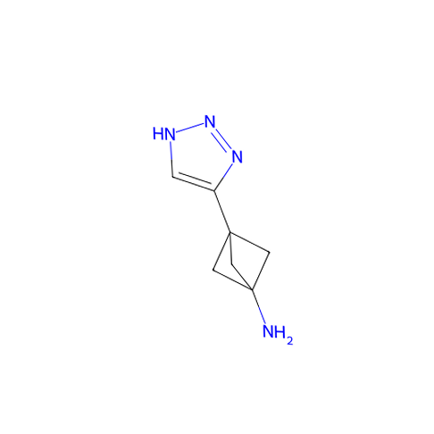 NC12CC(c3c[nH]nn3)(C1)C2